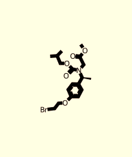 COC(=O)CN(C(=O)OCC(C)C)[C@@H](C)c1ccc(OCCBr)cc1